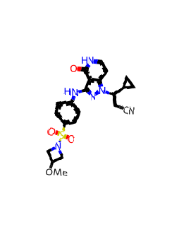 COC1CN(S(=O)(=O)c2ccc(Nc3nn(C(CC#N)C4CC4)c4cc[nH]c(=O)c34)cc2)C1